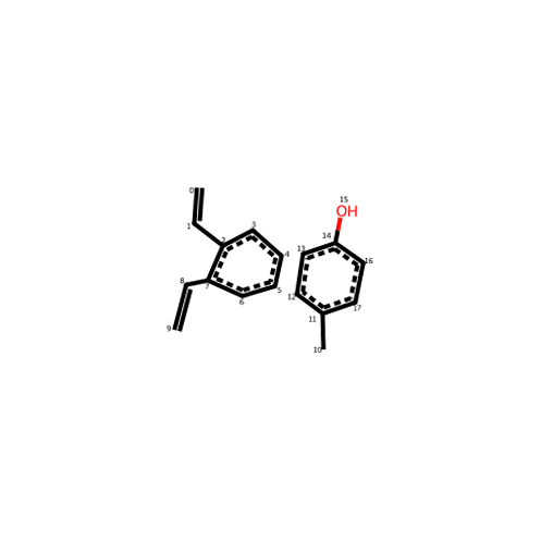 C=Cc1ccccc1C=C.Cc1ccc(O)cc1